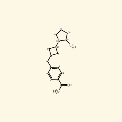 BC(=O)c1ccc(CC2CC(N3CCCC3C)C2)cc1